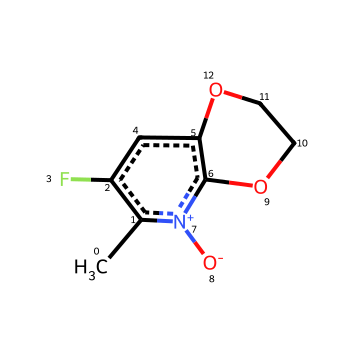 Cc1c(F)cc2c([n+]1[O-])OCCO2